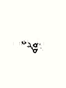 CC(CC(N)=O)N1CCC(N(Cc2cccc(C#N)c2)c2ccc(NC(=O)C(F)(F)F)cc2)CC1